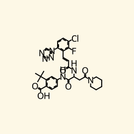 CC(C)(C)c1cc(NC(=O)C(CC(=O)N2CCCCC2)NC(=O)C=Cc2c(-n3cnnn3)ccc(Cl)c2F)ccc1C(=O)O